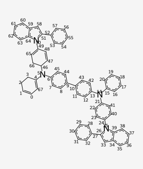 C1=CCCC(N(c2ccc(-c3ccc(N(c4ccccc4)c4ccc(-n5c(-c6ccccc6)cc6ccccc65)cc4)cc3)cc2)C2C=CC(n3c(-c4ccccc4)cc4ccccc43)=CC2)=C1